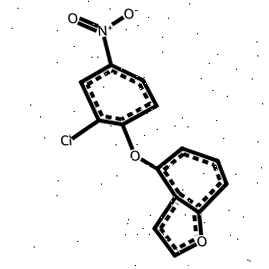 O=[N+]([O-])c1ccc(Oc2cccc3occc23)c(Cl)c1